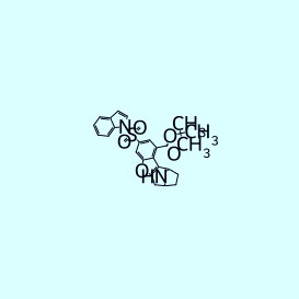 CC(C)(C)OC(=O)c1cc(S(=O)(=O)n2ccc3ccccc32)cc2oc3c(c12)C1CCC(C3)N1